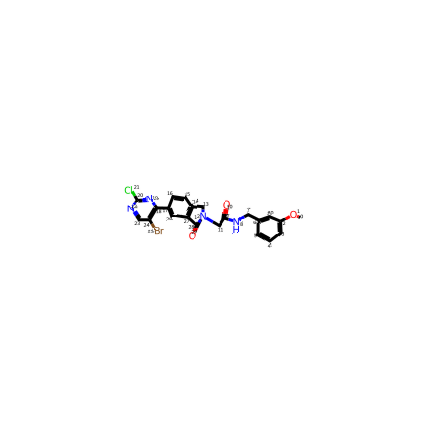 COc1cccc(CNC(=O)CN2Cc3ccc(-c4nc(Cl)ncc4Br)cc3C2=O)c1